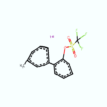 Cc1cccc(-c2ccccc2OS(=O)(=O)C(F)(F)F)c1.I